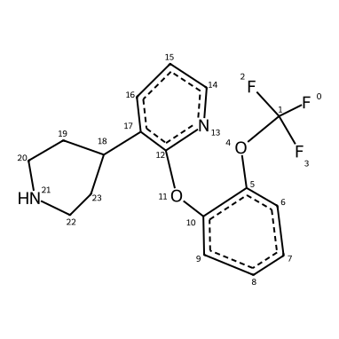 FC(F)(F)Oc1ccccc1Oc1ncccc1C1CCNCC1